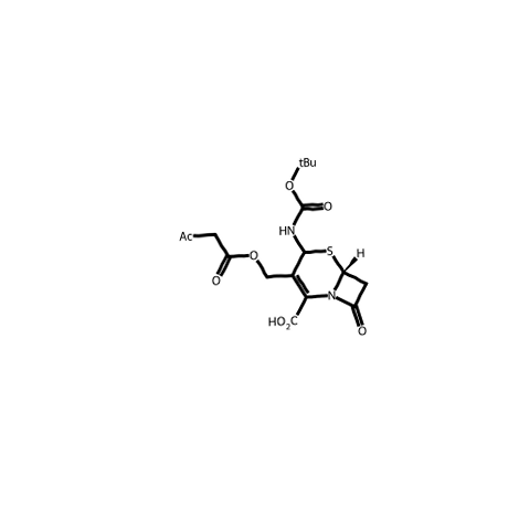 CC(=O)CC(=O)OCC1=C(C(=O)O)N2C(=O)C[C@H]2SC1NC(=O)OC(C)(C)C